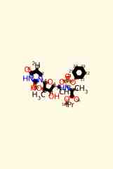 [2H]c1cn([C@@H]2O[C@H](C(C)O[P@@](=O)(N[C@@H](C)C(=O)OC(C)C)Oc3ccccc3)[C@@H](O)[C@@]2(C)O)c(=O)[nH]c1=O